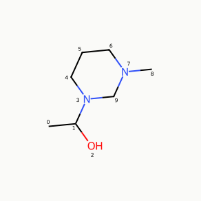 CC(O)N1CCCN(C)C1